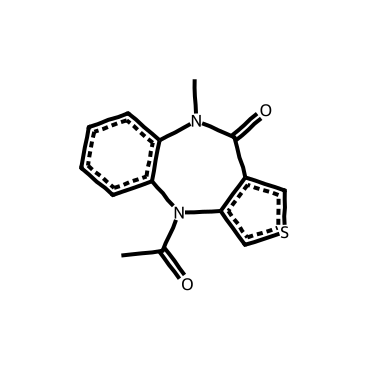 CC(=O)N1c2cscc2C(=O)N(C)c2ccccc21